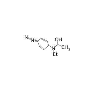 CCN(C(C)O)C1C=CC(=[N+]=[N-])C=C1